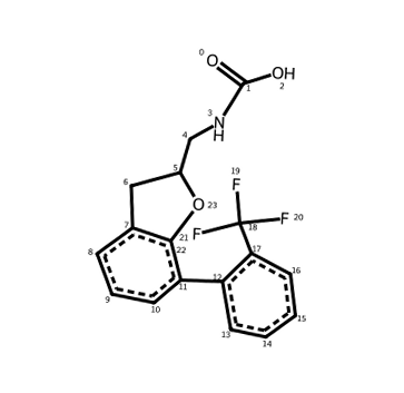 O=C(O)NCC1Cc2cccc(-c3ccccc3C(F)(F)F)c2O1